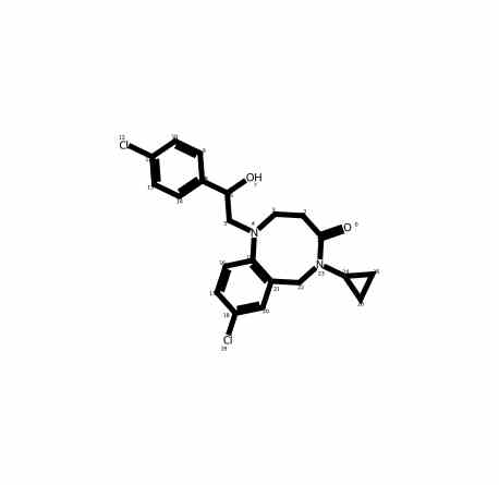 O=C1CCN(CC(O)c2ccc(Cl)cc2)c2ccc(Cl)cc2CN1C1CC1